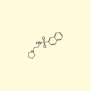 O=S(=O)(NCCN1CCCC1)c1ccc2ccccc2c1